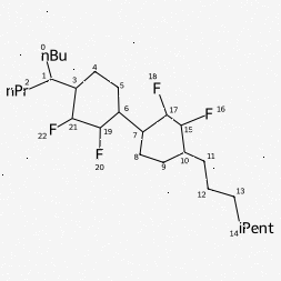 CCCCC(CCC)C1CCC(C2CCC(CCCC(C)CCC)C(F)C2F)C(F)C1F